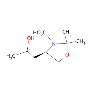 CC(O)C[C@@H]1COC(C)(C)N1C(=O)O